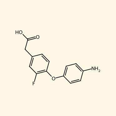 Nc1ccc(Oc2ccc(CC(=O)O)cc2F)cc1